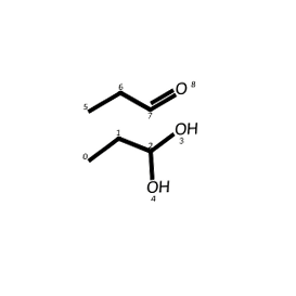 CCC(O)O.CCC=O